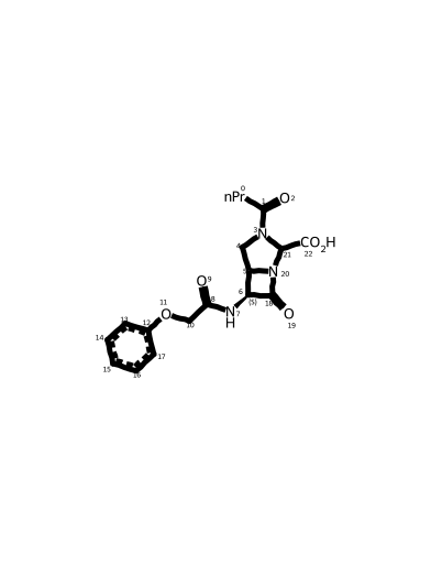 CCCC(=O)N1CC2[C@H](NC(=O)COc3ccccc3)C(=O)N2C1C(=O)O